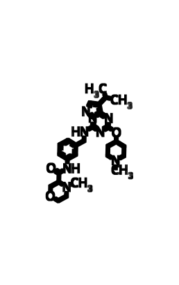 CC(C)c1cnn2c(NCc3cccc(NC(=O)C4COCCN4C)c3)nc(OC3CCN(C)CC3)nc12